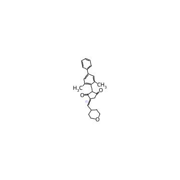 Cc1cc(-c2ccccc2)cc(C)c1C1C(=O)C/C(=C\C2CCOCC2)C1=O